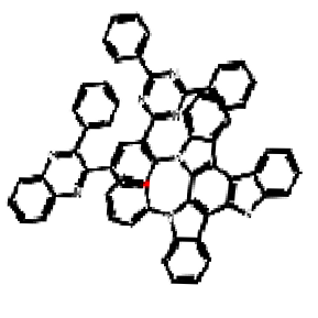 c1ccc(-c2nc(-c3ccccc3)nc(-c3cc(-c4nc5ccccc5nc4-c4ccccc4)ccc3-n3c4ccccc4c4c5c6ccccc6sc5c5c6ccccc6n(-c6ccccc6)c5c43)n2)cc1